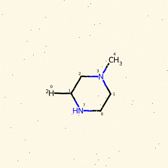 [2H]C1CN(C)CCN1